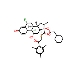 Cc1cc(C)c(C(=O)CSC(=O)[C@@]2(OC(=O)CC3CCCCC3)[C@H](C)C[C@H]3[C@@H]4C[C@H](F)C5=CC(=O)C=C[C@]5(C)[C@@]4(F)[C@@H](O)C[C@@]32C)c(C)c1